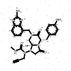 C#CCN(C(=O)NC)N1CC(=O)N2[C@@H](Cc3ccc(N)cc3)C(=O)N(Cc3cccc4sc(N)nc34)C[C@@H]21